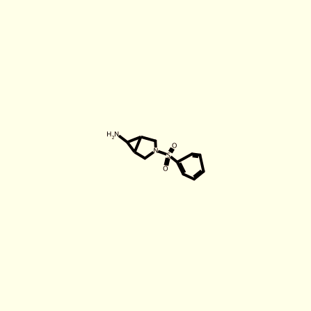 NC1C2CN(S(=O)(=O)c3ccccc3)CC12